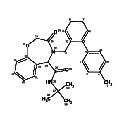 Cc1ccc(-c2ccccc2CN2C(=O)COc3ccccc3C2C(=O)NC(C)(C)C)cc1